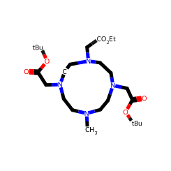 CCOC(=O)CN1CCN(CC(=O)OC(C)(C)C)CCN(C)CCN(CC(=O)OC(C)(C)C)CC1